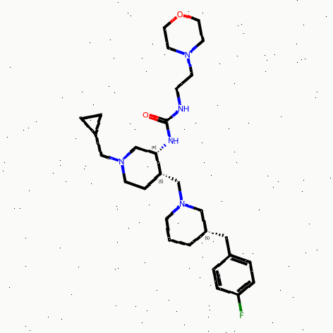 O=C(NCCN1CCOCC1)N[C@H]1CN(CC2CC2)CC[C@H]1CN1CCC[C@@H](Cc2ccc(F)cc2)C1